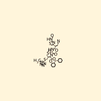 Cn1nnnc1SCC1=C(C(=O)OC(c2ccccc2)c2ccccc2)N2C(=O)C(NC(=O)/C(=C/C#N)c3csc(NC=O)n3)[C@H]2SC1